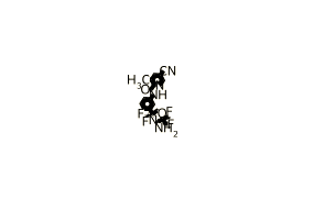 Cc1cc(C#N)cnc1C(=O)Nc1ccc(F)c([C@]2(CF)COC(CF)(CF)C(N)=N2)c1